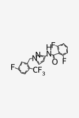 O=C(Nc1ccn(Cc2cc(F)ccc2C(F)(F)F)n1)c1c(F)cccc1F